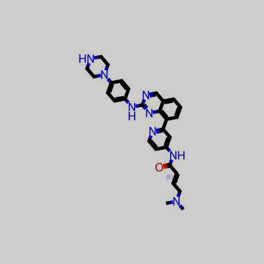 CN(C)C/C=C/C(=O)Nc1ccnc(-c2cccc3cnc(Nc4ccc(N5CCNCC5)cc4)nc23)c1